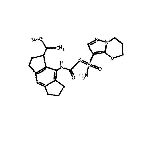 COC(C)C1CCc2cc3c(c(NC(=O)N=S(N)(=O)c4cnn5c4OCCC5)c21)CCC3